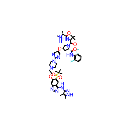 CN[C@@H](C)C(=O)N[C@H](C(=O)N1C[C@@H](Oc2cnc(N3CCN(CCOc4cc5ncnc(Nc6n[nH]c(C)c6C)c5cc4S(=O)(=O)C(C)(C)C)CC3)nc2)C[C@H]1C(=O)Nc1c(F)cccc1F)C(C)(C)C